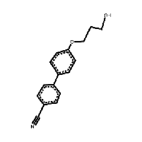 N#Cc1ccc(-c2ccc(OCCCO)cc2)cc1